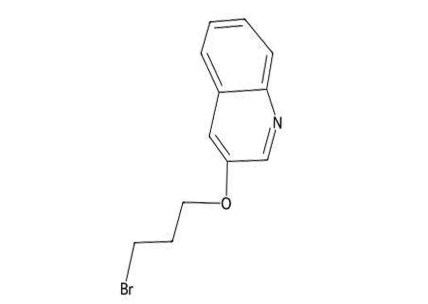 BrCCCOc1cnc2ccccc2c1